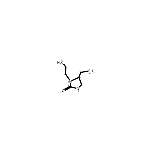 CCCN1C(=O)OCC1CC